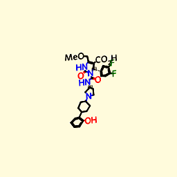 COCC1=C(C(=O)O)[C@H](c2ccc(F)c(F)c2)N(C(=O)N[C@@H]2CCN(C3CCC(c4ccccc4O)CC3)C2)C(=O)N1